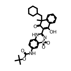 CC(C)(C)OC(=O)Nc1ccc2c(c1)S(=O)(=O)N=C(C1=C(O)c3ccccc3C(C)(CC3CCCCC3)C1=O)N2